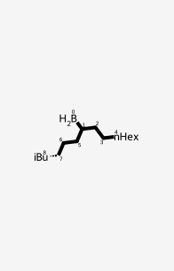 BC(CCCCCCCC)CCC[C@@H](C)CC